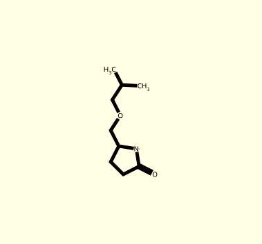 CC(C)COCC1CCC(=O)[N]1